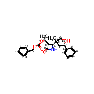 C[C@@H](OC(=O)OCc1ccccc1)[C@H]1C(=O)N[C@@H]1C(C)(CO)CCc1ccccc1